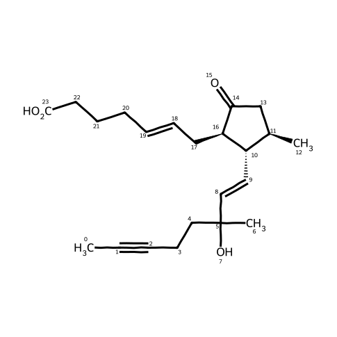 CC#CCCC(C)(O)C=C[C@H]1[C@H](C)CC(=O)[C@@H]1CC=CCCCC(=O)O